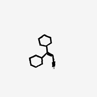 N#CC=C(C1CCCCC1)C1CCCCC1